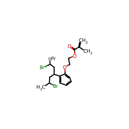 C=C(C)C(=O)OCCOc1ccccc1C(CC(C)Br)CC(Br)CCC